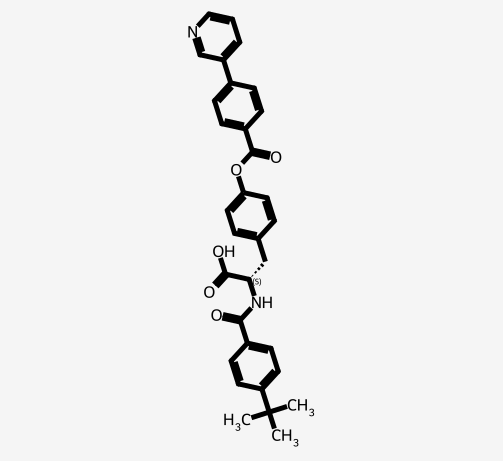 CC(C)(C)c1ccc(C(=O)N[C@@H](Cc2ccc(OC(=O)c3ccc(-c4cccnc4)cc3)cc2)C(=O)O)cc1